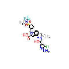 CC(Cc1ccc2c(c1)cc(C(=O)O)n2Cc1cccc(S(=O)(=O)N(C)C(F)(F)F)c1)NCC(O)c1cnc(N)c(Cl)c1